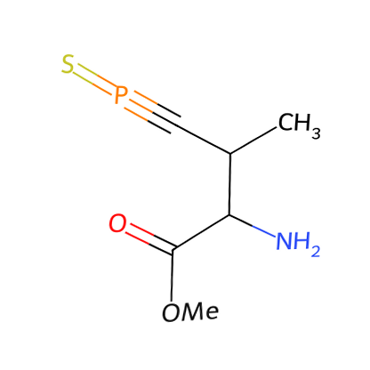 COC(=O)C(N)C(C)C#P=S